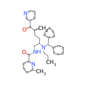 C=C(CCC(CNC(=O)c1cccc(C)n1)N(CCC)C(c1ccccc1)c1ccccc1)C(=O)c1cccnc1